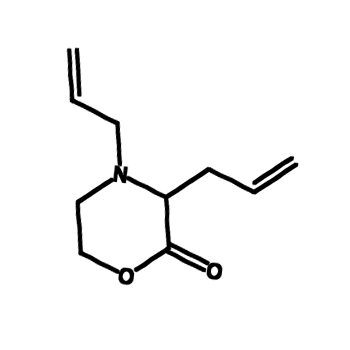 C=CCC1C(=O)OCCN1CC=C